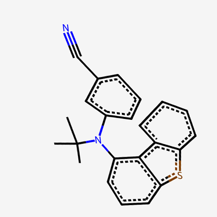 CC(C)(C)N(c1cccc(C#N)c1)c1cccc2sc3ccccc3c12